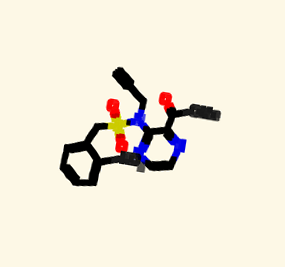 C#CCN(c1nccnc1C(=O)OC)S(=O)(=O)Cc1ccccc1[N+](=O)[O-]